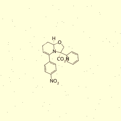 O=C(O)[C@@]1(c2ccccc2)CO[C@@H]2CCC=C(c3ccc([N+](=O)[O-])cc3)N21